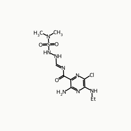 CCNc1nc(N)c(C(=O)N=CNNS(=O)(=O)N(C)C)nc1Cl